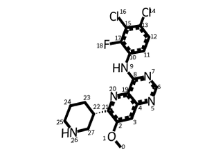 COc1cc2ncnc(Nc3ccc(Cl)c(Cl)c3F)c2nc1[C@H]1CCCNC1